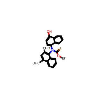 CCOC(=S)N(c1ccc(O)c2ccccc12)c1c(C=O)cc(C=O)c2ccccc12